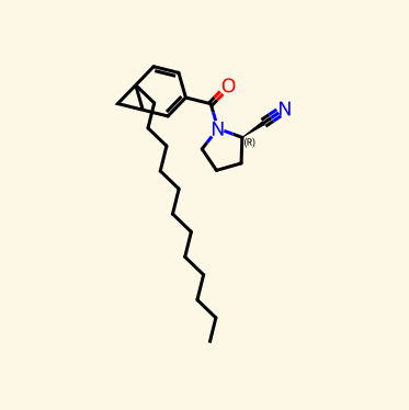 CCCCCCCCCCCCC12C=CC(C(=O)N3CCC[C@@H]3C#N)=CC1C2